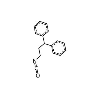 O=C=NCCC(c1ccccc1)c1ccccc1